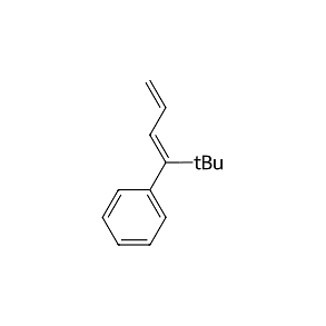 C=CC=C(c1ccccc1)C(C)(C)C